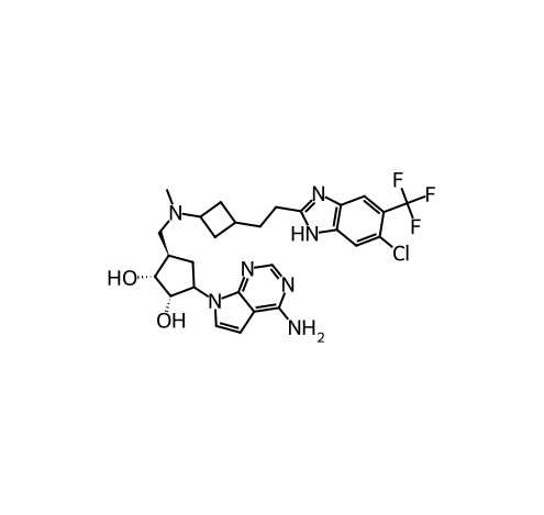 CN(C[C@H]1CC(n2ccc3c(N)ncnc32)[C@H](O)[C@@H]1O)C1CC(CCc2nc3cc(C(F)(F)F)c(Cl)cc3[nH]2)C1